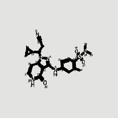 Cc1cc(Nc2nn(C(CC#N)C3CC3)c3cc[nH]c(=O)c23)ccc1S(=O)(=O)N(C)C